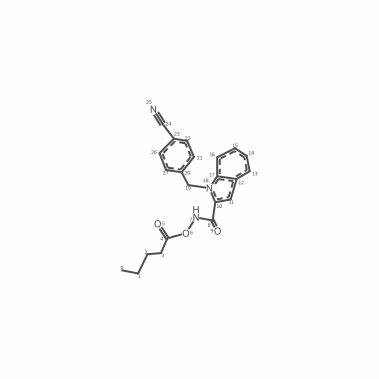 CCCCC(=O)ONC(=O)c1cc2ccccc2n1Cc1ccc(C#N)cc1